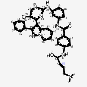 CN(C)C/C=C/C(O)Nc1ccc(C(=O)Nc2cccc(Nc3ncc(Cl)c(-c4c(-c5ccccc5)nn5ccccc45)n3)c2)cc1